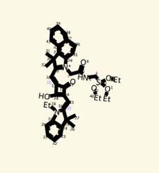 CCO[Si](CNC(=O)C[N+]1=C(/C=C2\C(=O)C(/C=C3\N(CC)c4ccccc4C3(C)C)=C2O)C(C)(C)c2c1ccc1ccccc21)(OCC)OCC